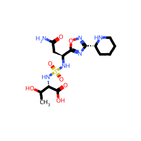 CC(O)[C@H](NS(=O)(=O)N[C@@H](CC(N)=O)c1nc([C@H]2CCCCN2)no1)C(=O)O